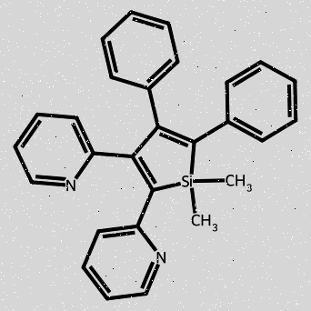 C[Si]1(C)C(c2ccccc2)=C(c2ccccc2)C(c2ccccn2)=C1c1ccccn1